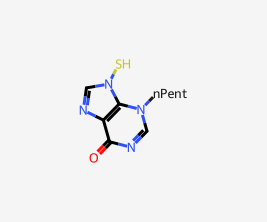 CCCCCn1cnc(=O)c2ncn(S)c21